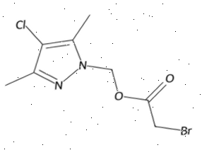 Cc1nn(COC(=O)CBr)c(C)c1Cl